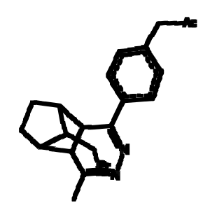 CC(=O)Cc1ccc(C2=NN=C(C)C3C4CCC(C4CC(C)C)C23)cc1